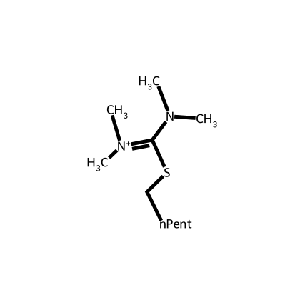 CCCCCCSC(N(C)C)=[N+](C)C